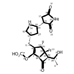 C[C@@H](O)[C@H]1C(=O)N2C(OC(=O)O)=C(S[C@@H]3CN[C@H](C4CC(=O)NC4=O)C3)[C@H](C)[C@H]12